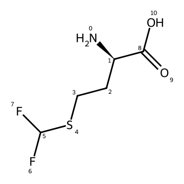 N[C@H](CCSC(F)F)C(=O)O